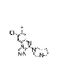 Fc1cc2nc(N3CCN4CCCC4C3)c3nncn3c2cc1Cl